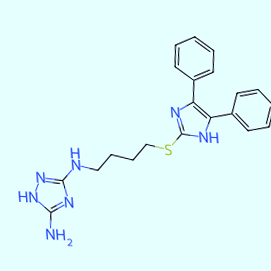 Nc1nc(NCCCCSc2nc(-c3ccccc3)c(-c3ccccc3)[nH]2)n[nH]1